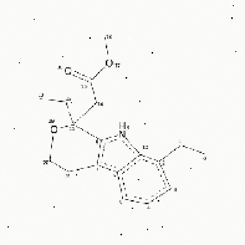 CCc1cccc2c3c([nH]c12)C(CC)(CC(=O)OC)OCC3